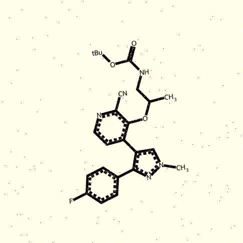 CC(CNC(=O)OC(C)(C)C)Oc1c(-c2cn(C)nc2-c2ccc(F)cc2)ccnc1C#N